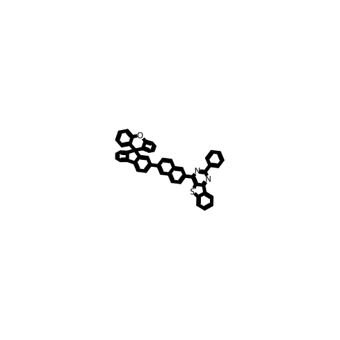 c1ccc(-c2nc(-c3ccc4cc(-c5ccc6c(c5)C5(c7ccccc7Oc7ccccc75)c5ccccc5-6)ccc4c3)c3sc4ccccc4c3n2)cc1